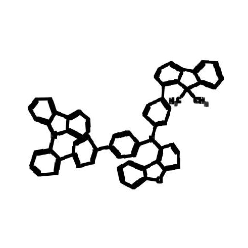 CC1(C)c2ccccc2-c2cccc(-c3ccc(N(c4ccc(-c5ccc(-c6ccccc6-n6c7ccccc7c7ccccc76)cc5)cc4)c4cccc5oc6ccccc6c45)cc3)c21